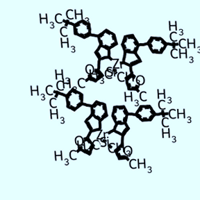 Cc1ccc(C2=Cc3c(-c4ccc(C(C)(C)C)cc4)cccc3[CH]2[Zr]([CH]2C(c3ccc(C)o3)=Cc3c(-c4ccc(C(C)(C)C)cc4)cccc32)=[Si](C)C)o1.Cc1ccc(C2=Cc3c(-c4ccc(C(C)(C)C)cc4)cccc3[CH]2[Zr]([CH]2C(c3ccc(C)o3)=Cc3c(-c4ccc(C(C)(C)C)cc4)cccc32)=[Si](C)C)o1